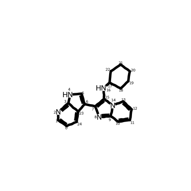 c1cnc2[nH]cc(-c3nc4ccccn4c3NC3CCCCC3)c2c1